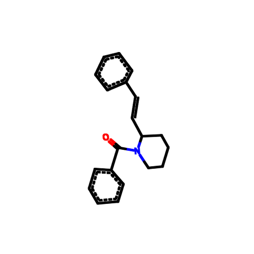 O=C(c1ccccc1)N1CCCCC1C=Cc1ccccc1